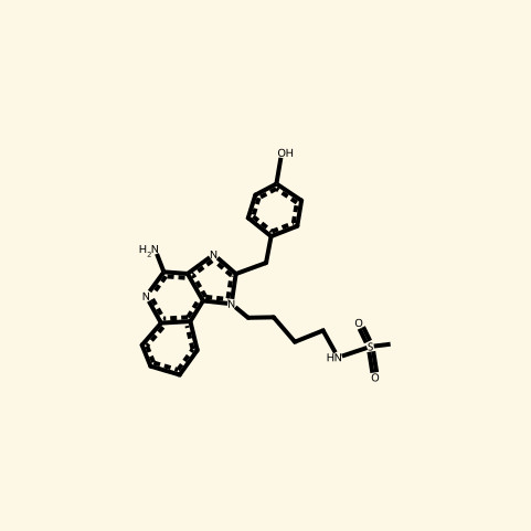 CS(=O)(=O)NCCCCn1c(Cc2ccc(O)cc2)nc2c(N)nc3ccccc3c21